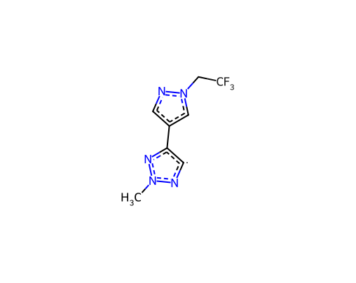 Cn1n[c]c(-c2cnn(CC(F)(F)F)c2)n1